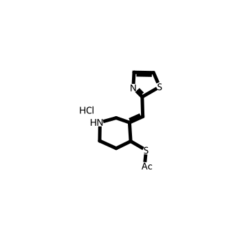 CC(=O)SC1CCNCC1=Cc1nccs1.Cl